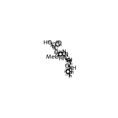 COc1cc2c(Nc3cnn(CC(=O)Nc4cccc(F)c4F)c3)ncnc2cc1OCCN(CCO)C1CCOCC1